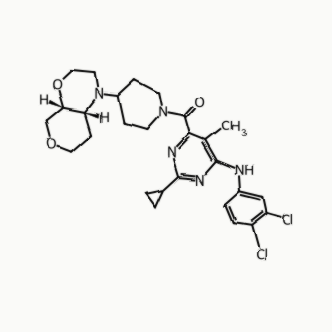 Cc1c(Nc2ccc(Cl)c(Cl)c2)nc(C2CC2)nc1C(=O)N1CCC(N2CCO[C@H]3COCC[C@H]32)CC1